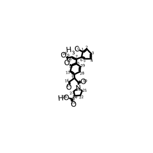 Cc1ccccc1-c1cc(=O)oc2cc(C(C=O)C(=O)N3CC[C@H](C(=O)O)C3)ccc12